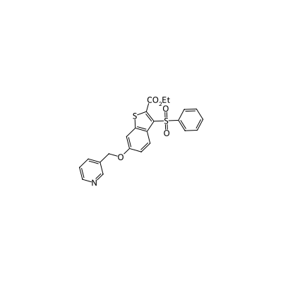 CCOC(=O)c1sc2cc(OCc3cccnc3)ccc2c1S(=O)(=O)c1ccccc1